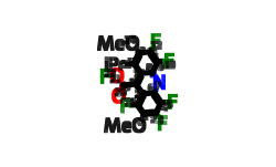 COc1c(F)c(F)c2nc3c(F)c(F)c(OC)c(C(C)C)c3c(C(=O)OF)c2c1F